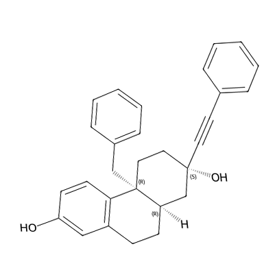 Oc1ccc2c(c1)CC[C@@H]1C[C@](O)(C#Cc3ccccc3)CC[C@]21Cc1ccccc1